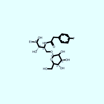 CC[C@@H](O)[C@@H](O)[C@H](CO[C@H]1OC(CO)[C@@H](O)[C@H](O)C1O)NC(=O)Cc1ccc(F)cc1